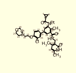 CCN(C(=O)C1CC1)c1cc(-c2ccc(OCCN3CCOCC3)c(Cl)c2)cc(C(=O)NCc2c(C)cc(C)[nH]c2=O)c1C